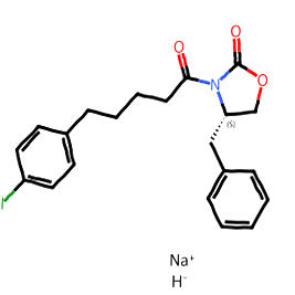 O=C(CCCCc1ccc(Cl)cc1)N1C(=O)OC[C@@H]1Cc1ccccc1.[H-].[Na+]